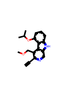 C#Cc1ncc2[nH]c3cccc(OC(C)C)c3c2c1COC